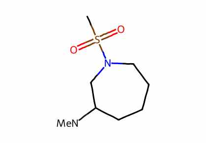 CNC1CCCCN(S(C)(=O)=O)C1